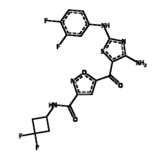 Nc1nc(Nc2ccc(F)c(F)c2)sc1C(=O)c1cc(C(=O)NC2CC(F)(F)C2)no1